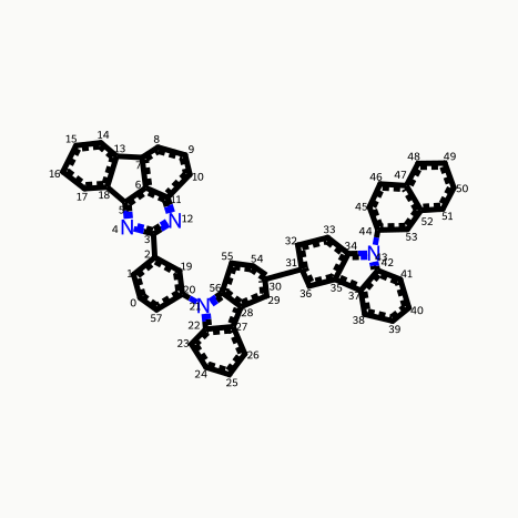 c1cc(-c2nc3c4c(cccc4n2)-c2ccccc2-3)cc(-n2c3ccccc3c3cc(-c4ccc5c(c4)c4ccccc4n5-c4ccc5ccccc5c4)ccc32)c1